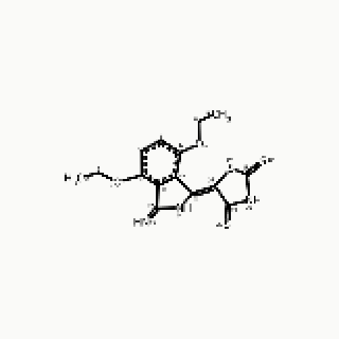 CCOc1ccc(OCC)c2c1C(=N)N/C2=C1/SC(=S)NC1=S